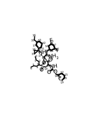 CCCC(CCC)S(=O)(=O)C[C@H](NC(=O)OCc1ccccc1)C(=O)O[C@H](CNC1(c2cccc(CC)c2)CC1)[C@@H](N)Cc1cc(F)cc(F)c1